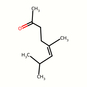 CC(=O)CC/C(C)=C\C(C)C